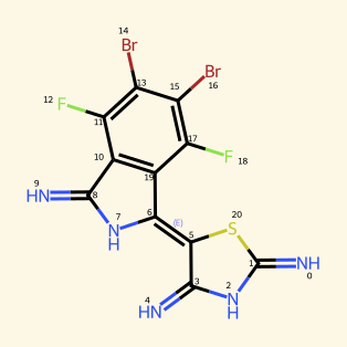 N=C1NC(=N)/C(=C2\NC(=N)c3c(F)c(Br)c(Br)c(F)c32)S1